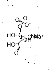 O.O=C[C@H](O)[C@H](O)[C@H](O)COP(=O)([O-])[O-].[Na+].[Na+]